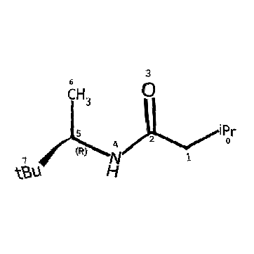 CC(C)CC(=O)N[C@H](C)C(C)(C)C